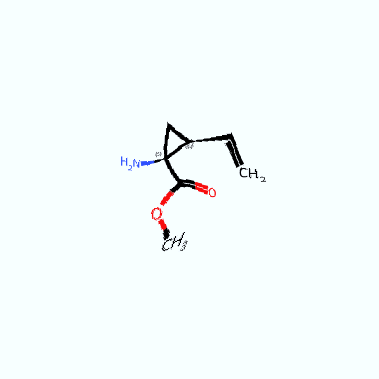 C=C[C@@H]1C[C@@]1(N)C(=O)OC